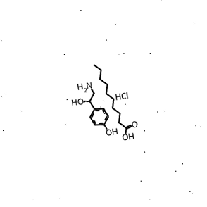 CCCCCCCCCC(=O)O.Cl.NCC(O)c1ccc(O)cc1